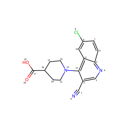 N#Cc1cnc2ccc(Cl)cc2c1N1CCC(C(=O)O)CC1